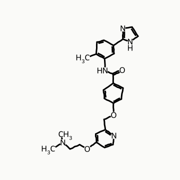 Cc1ccc(-c2ncc[nH]2)cc1NC(=O)c1ccc(OCc2cc(OCCN(C)C)ccn2)cc1